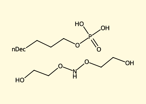 CCCCCCCCCCCCCOP(=O)(O)O.OCCONOCCO